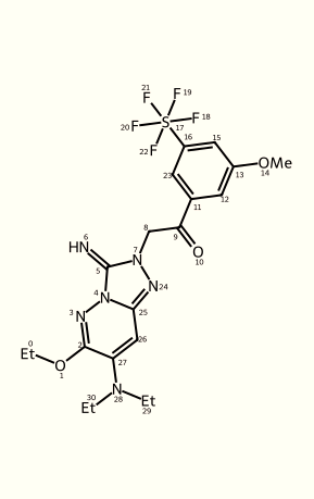 CCOc1nn2c(=N)n(CC(=O)c3cc(OC)cc(S(F)(F)(F)(F)F)c3)nc2cc1N(CC)CC